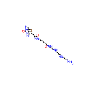 NCCCNCCCCNCCCNC(=O)CCCCCNC(=O)CCC[C@@H]1SC[C@@H]2NC(=O)N[C@@H]21